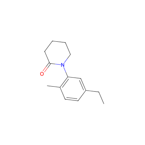 CCc1ccc(C)c(N2CCCCC2=O)c1